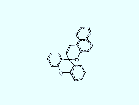 C1=CC2(Oc3ccc4ccccc4c31)c1ccccc1Oc1ccccc12